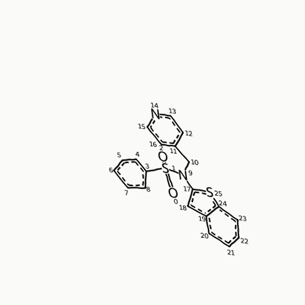 O=S(=O)(c1ccccc1)N(Cc1ccncc1)c1cc2ccccc2s1